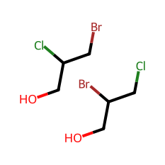 OCC(Br)CCl.OCC(Cl)CBr